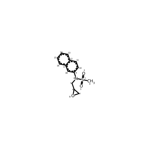 CS(=O)(=O)N(CC1CO1)c1ccc2ccccc2c1